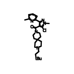 Cc1cccc(-c2nn(C)c(Cl)c2C(=O)N2CCC3(CCN(CCC(C)(C)C)CC3)CC2)n1